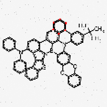 CC(C)(C)c1ccc(N2c3cc4c(cc3B3c5c(cc6ccccc6c52)-c2ccc(N(c5ccccc5)c5ccccc5)c5c6c7ccccc7sc6n3c25)Oc2ccccc2O4)c(-c2ccccc2)c1